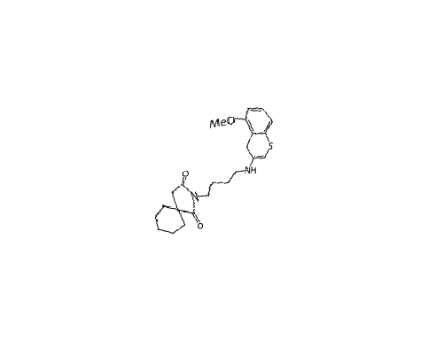 COc1cccc2c1CC(NCCCCN1C(=O)CC3(CCCCC3)C1=O)=CS2